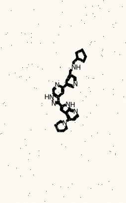 c1cc(N2CCCCC2)c2cc(-c3n[nH]c4cnc(-c5cncc(CNCC6CCCC6)c5)cc34)[nH]c2n1